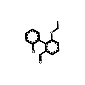 CCOc1cccc(C=O)c1-c1ccccc1Cl